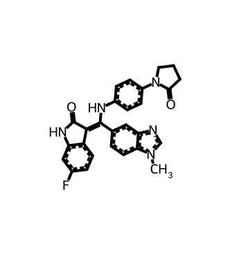 Cn1cnc2cc(/C(Nc3ccc(N4CCCC4=O)cc3)=C3/C(=O)Nc4cc(F)ccc43)ccc21